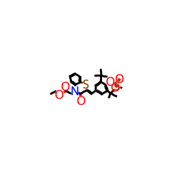 CCOC(=O)CN1C(=O)C(=Cc2cc(C(C)(C)C)c(OS(C)(=O)=O)c(C(C)(C)C)c2)Sc2ccccc21